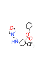 O=C(OCc1ccccc1)c1cc(NCCN2CCOCC2)ccc1C(F)(F)F